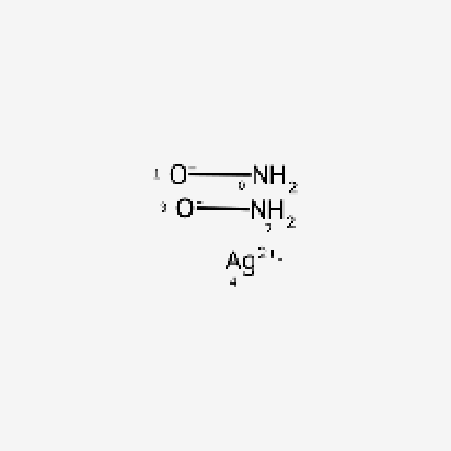 N[O-].N[O-].[Ag+2]